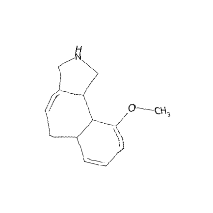 COC1=CC=CC2CC=C3CNCC3C12